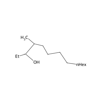 CCCCCCCCCCC(C)[C](O)CC